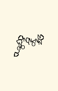 CC1CN(c2cccc3c2CN(C(=O)OCc2ccccc2)CC3)CCN1C(=O)Cn1cnc2cccnc21